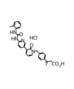 Cc1ccccc1NC(=O)Nc1ccc(-c2cccn(Cc3ccc([C@H](C)CC(=O)O)cc3)c2=O)cn1.Cl